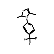 CC1=CSC(C)N1c1ccc(C(F)(F)F)cc1